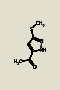 CSc1cc(C(C)=O)[nH]n1